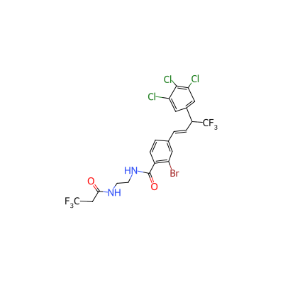 O=C(CC(F)(F)F)NCCNC(=O)c1ccc(/C=C/C(c2cc(Cl)c(Cl)c(Cl)c2)C(F)(F)F)cc1Br